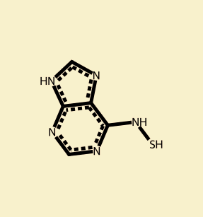 SNc1ncnc2[nH]cnc12